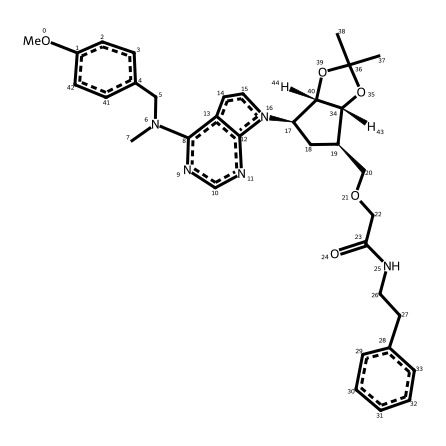 COc1ccc(CN(C)c2ncnc3c2ccn3[C@@H]2C[C@H](COCC(=O)NCCc3ccccc3)[C@H]3OC(C)(C)O[C@H]32)cc1